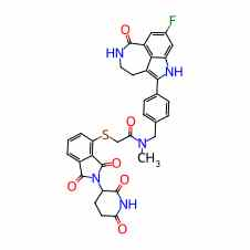 CN(Cc1ccc(-c2[nH]c3cc(F)cc4c3c2CCNC4=O)cc1)C(=O)CSc1cccc2c1C(=O)N(C1CCC(=O)NC1=O)C2=O